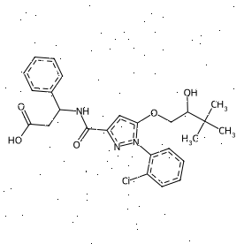 CC(C)(C)C(O)COc1cc(C(=O)NC(CC(=O)O)c2ccccc2)nn1-c1ccccc1Cl